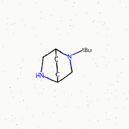 CC(C)(C)N1CC2CCC1CN2